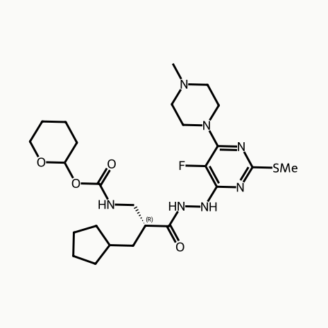 CSc1nc(NNC(=O)[C@@H](CNC(=O)OC2CCCCO2)CC2CCCC2)c(F)c(N2CCN(C)CC2)n1